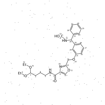 CCOC(CCCNC(=O)c1coc(COc2cccc(C(NC(=O)O)c3ccccc3)c2)n1)OCC